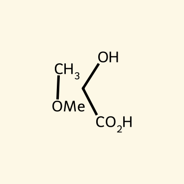 COC.O=C(O)CO